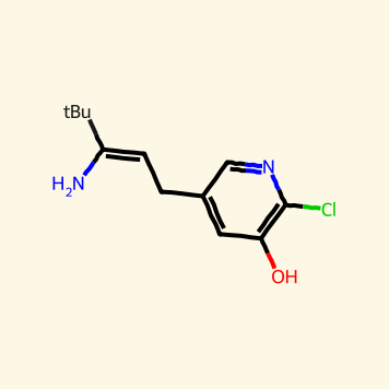 CC(C)(C)C(N)=CCc1cnc(Cl)c(O)c1